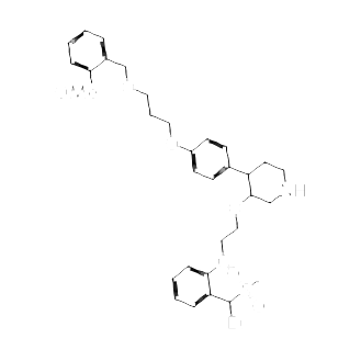 CCC(c1ccccc1OCCOC1CNCCC1c1ccc(OCCCOCc2ccccc2OC)cc1)S(=O)(=O)CC